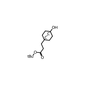 CC(C)(C)OC(=O)CCC12CCC(O)(CC1)CC2